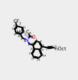 CCCCCCCCC#Cc1ccc(CN(Cc2ccc(C(F)(F)F)cc2)C(=O)C(=O)O)c2ccccc12